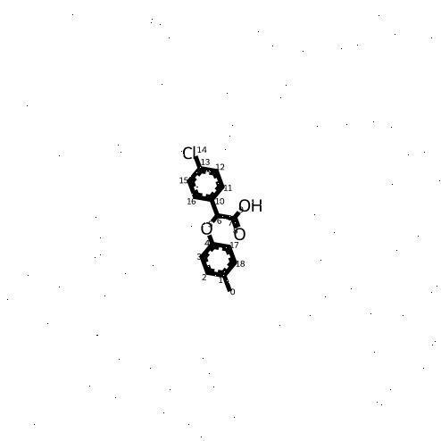 Cc1ccc(OC(C(=O)O)c2ccc(Cl)cc2)cc1